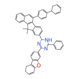 CC1(C)c2cc(C3N=C(c4ccc5c6c(oc5c4)C=CCC6)N=C(c4ccccc4)N3)ccc2-c2c(-c3ccc(C4C=CC=CC4)cc3)cc3ccccc3c21